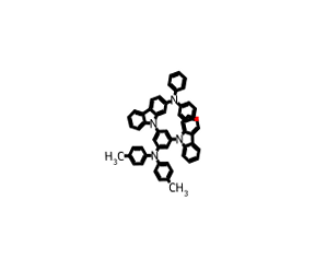 Cc1ccc(N(c2ccc(C)cc2)c2cc(-n3c4ccccc4c4ccccc43)cc(-n3c4ccccc4c4ccc(N(c5ccccc5)c5ccccc5)cc43)c2)cc1